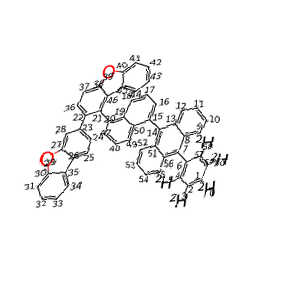 [2H]c1c([2H])c([2H])c(-c2c3ccccc3c(-c3cccc4c(-c5c(-c6ccc7c(c6)oc6ccccc67)ccc6oc7ccccc7c56)cccc34)c3ccccc23)c([2H])c1[2H]